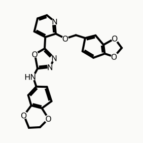 c1cnc(OCc2ccc3c(c2)OCO3)c(-c2nnc(Nc3ccc4c(c3)OCCO4)o2)c1